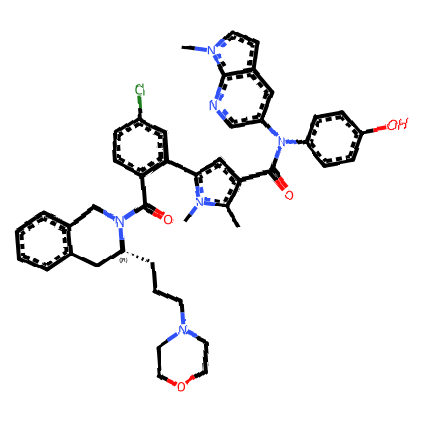 Cc1c(C(=O)N(c2ccc(O)cc2)c2cnc3c(ccn3C)c2)cc(-c2cc(Cl)ccc2C(=O)N2Cc3ccccc3C[C@H]2CCCN2CCOCC2)n1C